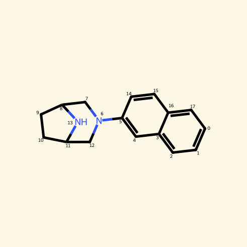 c1ccc2cc(N3CC4CCC(C3)N4)ccc2c1